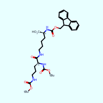 CC(C)(C)OC(=O)NCCC[C@H](NC(=O)OC(C)(C)C)C(=O)NCCCC[C@H](NC(=O)OCC1c2ccccc2-c2ccccc21)C(=O)O